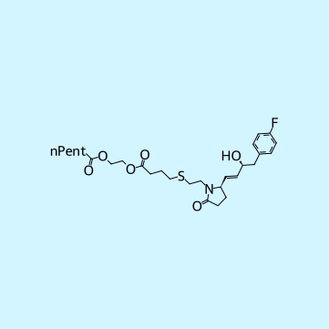 CCCCCC(=O)OCCOC(=O)CCCSCCN1C(=O)CC[C@@H]1/C=C/[C@@H](O)Cc1ccc(F)cc1